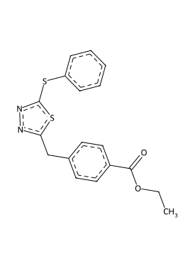 CCOC(=O)c1ccc(Cc2nnc(Sc3ccccc3)s2)cc1